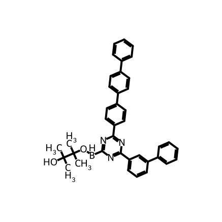 CC(C)(O)C(C)(C)OBc1nc(-c2ccc(-c3ccc(-c4ccccc4)cc3)cc2)nc(-c2cccc(-c3ccccc3)c2)n1